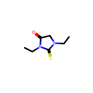 CCN1CC(=O)N(CC)C1=S